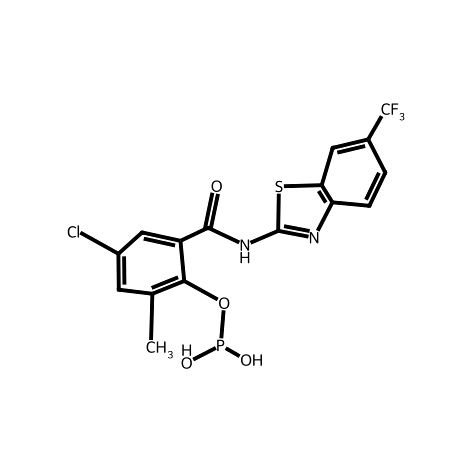 Cc1cc(Cl)cc(C(=O)Nc2nc3ccc(C(F)(F)F)cc3s2)c1OP(O)O